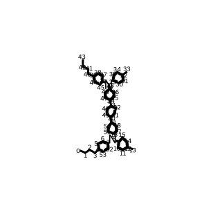 CCCCc1ccc(N(c2ccc(C)cc2)c2ccc(-c3ccc(-c4ccc(N(c5ccc(C)cc5)c5ccc(CCCC)cc5)cc4)cc3)cc2)cc1